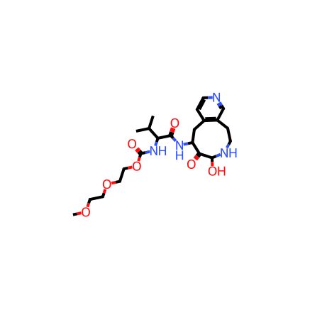 COCCOCCOC(=O)NC(C(=O)NC1Cc2ccncc2CCNC(O)C1=O)C(C)C